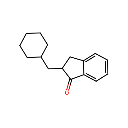 O=C1c2ccccc2CC1CC1CCCCC1